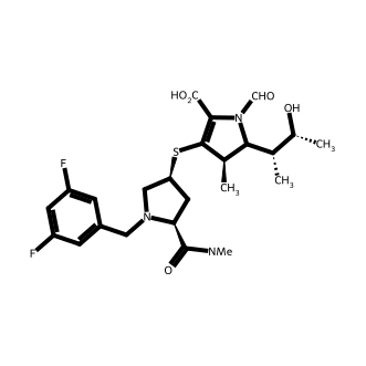 CNC(=O)[C@@H]1C[C@H](SC2=C(C(=O)O)N(C=O)C([C@@H](C)[C@@H](C)O)[C@H]2C)CN1Cc1cc(F)cc(F)c1